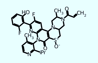 C=CC(=O)N1CC2C[S+]([O-])c3c(c4cc(F)c(-c5c(O)cccc5F)nc4n(-c4c(C)ccnc4C(C)C)c3=O)N2CC1C